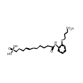 O=C(O)CCCOc1ccccc1NC(=O)CCCCCC=CCCCP(=O)(O)O